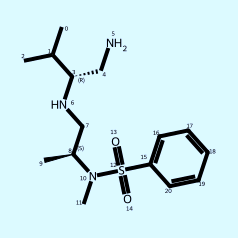 CC(C)[C@H](CN)NC[C@H](C)N(C)S(=O)(=O)c1ccccc1